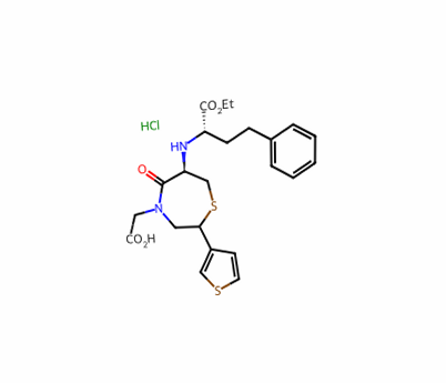 CCOC(=O)[C@H](CCc1ccccc1)N[C@H]1CSC(c2ccsc2)CN(CC(=O)O)C1=O.Cl